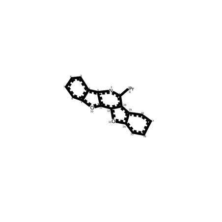 CC(C)c1nc2c3ccccc3oc2c2oc3ccccc3c12